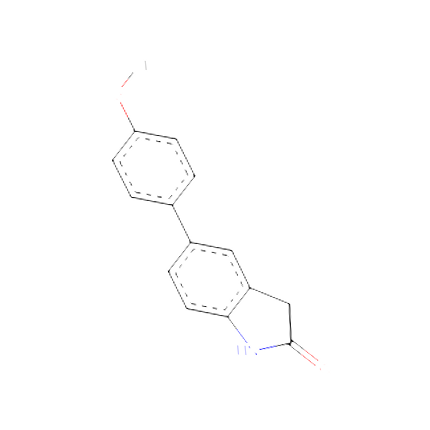 O=C1Cc2cc(-c3ccc(OC(F)(F)F)cc3)ccc2N1